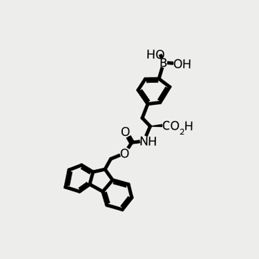 O=C(N[C@@H](Cc1ccc(B(O)O)cc1)C(=O)O)OCC1c2ccccc2-c2ccccc21